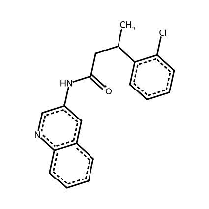 CC(CC(=O)Nc1cnc2ccccc2c1)c1ccccc1Cl